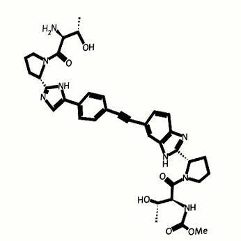 COC(=O)N[C@H](C(=O)N1CCC[C@H]1c1nc2ccc(C#Cc3ccc(-c4cnc([C@@H]5CCCN5C(=O)[C@@H](N)[C@H](C)O)[nH]4)cc3)cc2[nH]1)[C@H](C)O